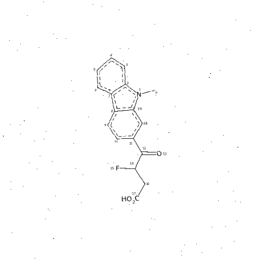 Cn1c2ccccc2c2ccc(C(=O)C(F)CC(=O)O)cc21